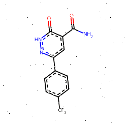 NC(=O)c1cc(-c2ccc(C(F)(F)F)cc2)n[nH]c1=O